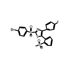 CS(=O)(=O)c1ccccc1-c1sc(S(=O)(=O)c2ccc(Br)cc2)nc1-c1ccc(F)cc1